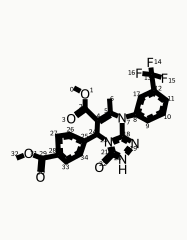 COC(=O)C1=C(C)N(c2cccc(C(F)(F)F)c2)c2n[nH]c(=O)n2C1c1ccc(C(=O)OC)cc1